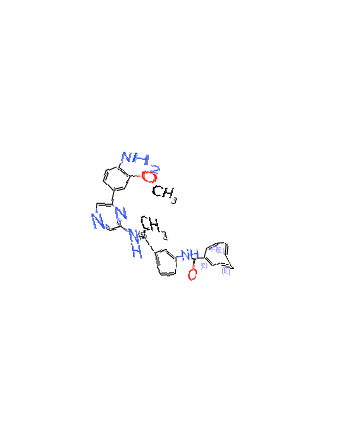 COc1cc(-c2cncc(N[C@@H](C)c3cccc(NC(=O)C4=C/C=C/C=C/C=C\4)c3)n2)ccc1N